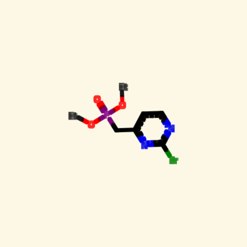 CCOP(=O)(Cc1ccnc(Br)n1)OCC